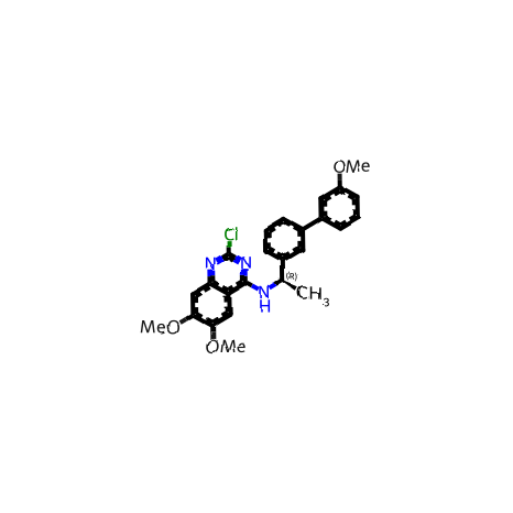 COc1cccc(-c2cccc([C@@H](C)Nc3nc(Cl)nc4cc(OC)c(OC)cc34)c2)c1